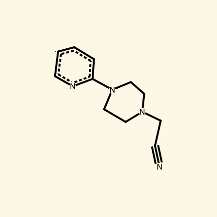 N#CCN1CCN(c2cc[c]cn2)CC1